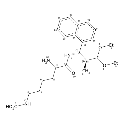 CCOC(OCC)[C@@H](C)[C@H](NC(=O)C(N)CCCCNC(=O)O)c1cccc2ccccc12